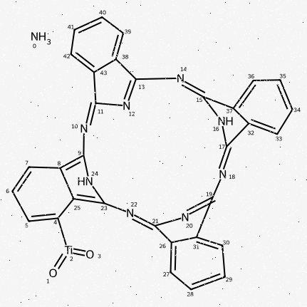 N.[O]=[Ti](=[O])[c]1cccc2c3nc4nc(nc5[nH]c(nc6nc(nc([nH]3)c12)-c1ccccc1-6)c1ccccc51)-c1ccccc1-4